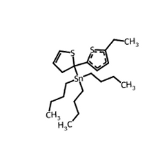 CCC[CH2][Sn]([CH2]CCC)([CH2]CCC)[C]1(c2ccc(CC)s2)CC=CS1